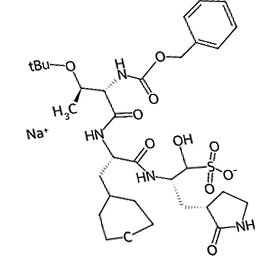 C[C@@H](OC(C)(C)C)[C@H](NC(=O)OCc1ccccc1)C(=O)N[C@@H](CC1CCCCC1)C(=O)N[C@@H](C[C@@H]1CCNC1=O)C(O)S(=O)(=O)[O-].[Na+]